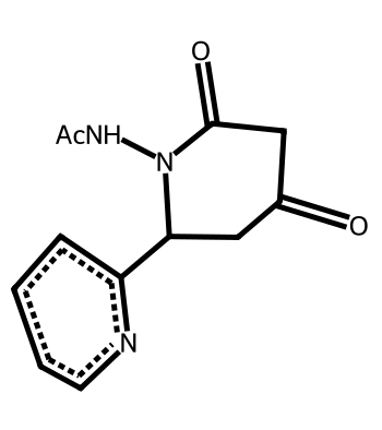 CC(=O)NN1C(=O)CC(=O)CC1c1ccccn1